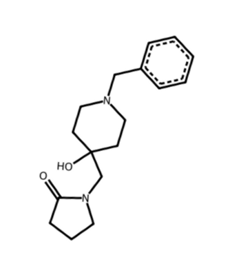 O=C1CCCN1CC1(O)CCN(Cc2ccccc2)CC1